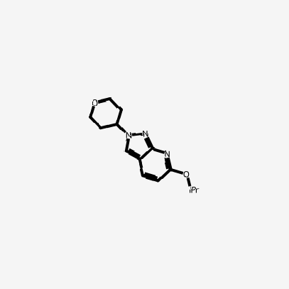 CC(C)Oc1ccc2cn(C3CCOCC3)nc2n1